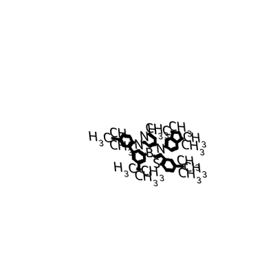 Cc1cc2c3c(n1)-n1c4ccc(C(C)(C)C)cc4c4cc(C(C)(C)C)cc(c41)B3c1sc3ccc(C(C)(C)C)cc3c1N2c1ccc2c(c1)C(C)(C)CC2(C)C